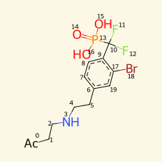 CC(=O)CCNCCc1ccc(C(F)(F)P(=O)(O)O)c(Br)c1